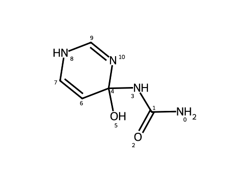 NC(=O)NC1(O)C=CNC=N1